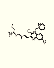 CCC\C(=N/C=C(C)/C=C/c1nc2cc(OC)ccc2n(Cc2ccccn2)c1=O)N(C)C